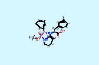 COP(=O)(Oc1ccccc1)N1CCCCC1N[C@@H](Cc1ccccc1)C(=O)O